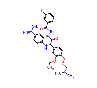 CCOc1cc(C(Nc2ccc(C(=N)N)cc2)C(=O)NNC(=O)c2cccc(F)c2)ccc1COCN(C)C